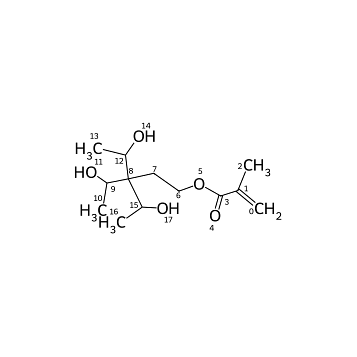 C=C(C)C(=O)OCCC(C(C)O)(C(C)O)C(C)O